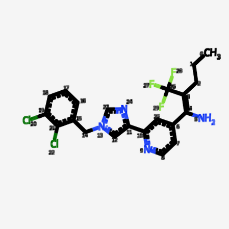 CCC/C(=C(\N)c1ccnc(-c2cn(Cc3cccc(Cl)c3Cl)cn2)c1)C(F)(F)F